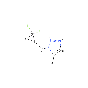 Cc1cnnn1CC1CC1(F)F